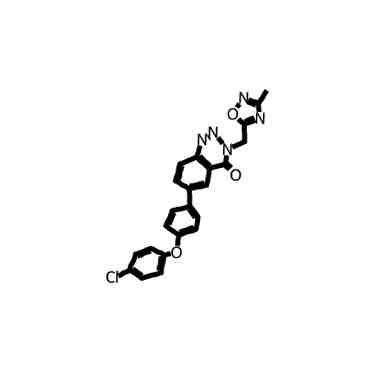 Cc1noc(Cn2nnc3ccc(-c4ccc(Oc5ccc(Cl)cc5)cc4)cc3c2=O)n1